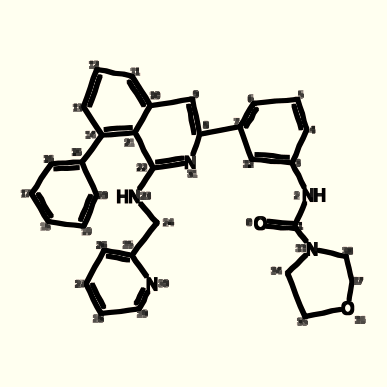 O=C(Nc1cccc(-c2cc3cccc(-c4ccccc4)c3c(NCc3ccccn3)n2)c1)N1CCOCC1